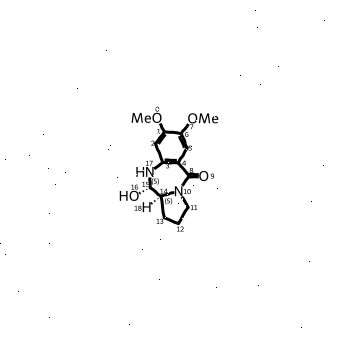 COc1cc2c(cc1OC)C(=O)N1CCC[C@H]1[C@H](O)N2